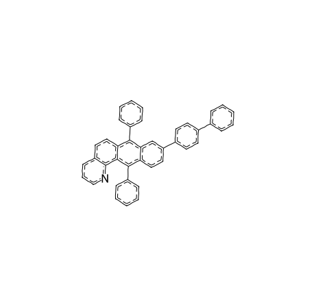 c1ccc(-c2ccc(-c3ccc4c(-c5ccccc5)c5c(ccc6cccnc65)c(-c5ccccc5)c4c3)cc2)cc1